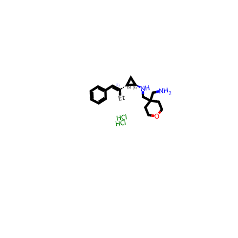 CC/C(=C\c1ccccc1)[C@@H]1C[C@H]1NCC1(CN)CCOCC1.Cl.Cl